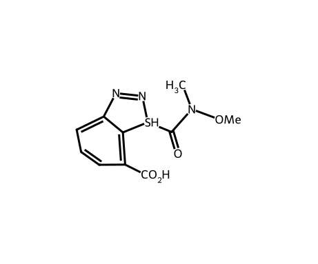 CON(C)C(=O)[SH]1N=Nc2cccc(C(=O)O)c21